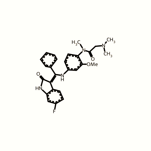 COc1cc(NC(=C2C(=O)Nc3cc(F)ccc32)c2ccccc2)ccc1N(C)C(=O)CN(C)C